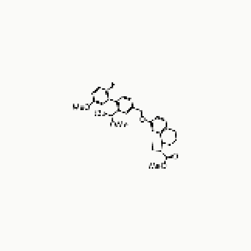 COC(=O)[C@H]1CC[C@]12CCCc1ccc(OCc3ccc(-c4cc(OC)ccc4F)c([C@@H](OC)C(C)(C)C)c3)cc12